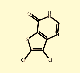 O=c1[nH]cnc2c(Cl)c(Cl)sc12